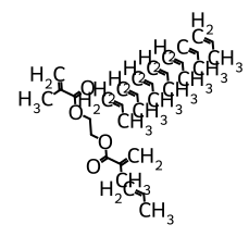 C=C(C)C(=O)OCCOC(=O)C(=C)C.C=CC.C=CC.C=CC.C=CC.C=CC.C=CC.C=CC.C=CC